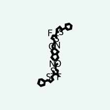 Fc1cc(-c2nc3cc4cc5oc(-c6cc(F)c(-c7ccc(-c8ccccc8)s7)s6)nc5cc4cc3o2)sc1-c1ccc(-c2ccccc2)s1